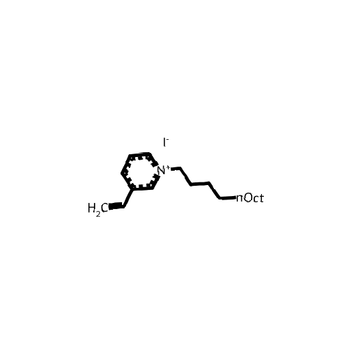 C=Cc1ccc[n+](CCCCCCCCCCCC)c1.[I-]